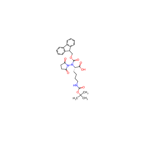 CC(C)(C)OC(=O)NCCCC[C@@H](C(=O)O)N(C(=O)OCC1c2ccccc2-c2ccccc21)N1C(=O)CCC1=O